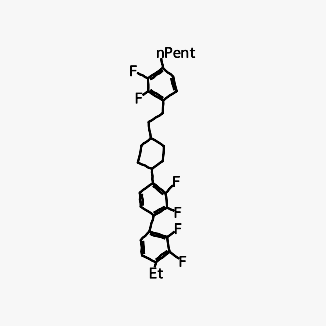 CCCCCc1ccc(CCC2CCC(c3ccc(-c4ccc(CC)c(F)c4F)c(F)c3F)CC2)c(F)c1F